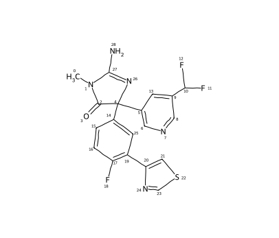 CN1C(=O)C(c2cncc(C(F)F)c2)(c2ccc(F)c(-c3cscn3)c2)N=C1N